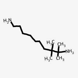 CC(C)(N)C(C)(C)CCCCCCCN